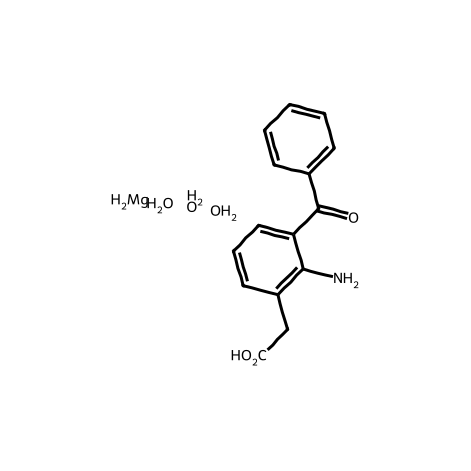 Nc1c(CC(=O)O)cccc1C(=O)c1ccccc1.O.O.O.[MgH2]